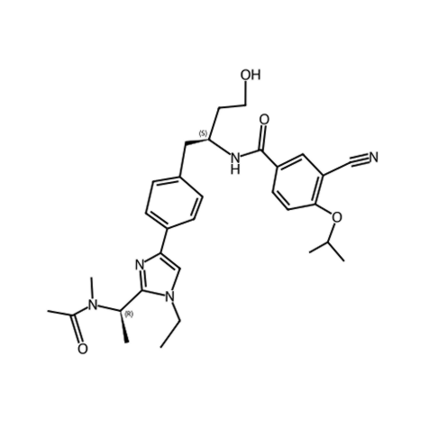 CCn1cc(-c2ccc(C[C@@H](CCO)NC(=O)c3ccc(OC(C)C)c(C#N)c3)cc2)nc1[C@@H](C)N(C)C(C)=O